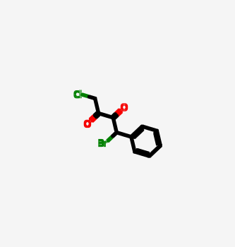 O=C(CCl)C(=O)C(Br)c1ccccc1